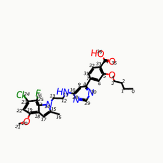 CCCCOc1cc(-c2cc(NCCn3c(C)cc4c(OC)cc(Cl)c(F)c43)ncn2)ccc1C(=O)O